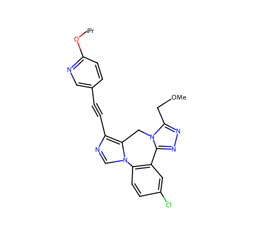 COCc1nnc2n1Cc1c(C#Cc3ccc(OC(C)C)nc3)ncn1-c1ccc(Cl)cc1-2